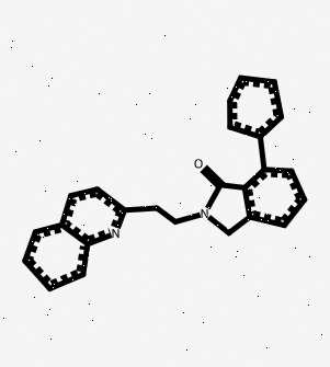 O=C1c2c(cccc2-c2ccccc2)CN1CCc1ccc2ccccc2n1